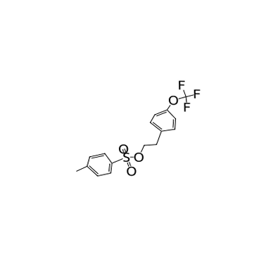 Cc1ccc(S(=O)(=O)OCCc2ccc(OC(F)(F)F)cc2)cc1